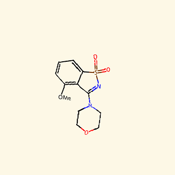 COc1cccc2c1C(N1CCOCC1)=NS2(=O)=O